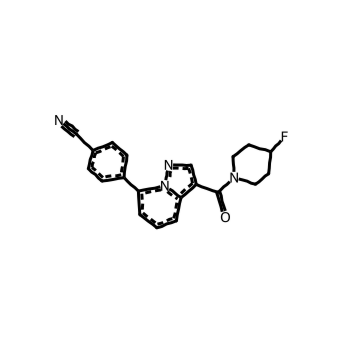 N#Cc1ccc(-c2cccc3c(C(=O)N4CCC(F)CC4)cnn23)cc1